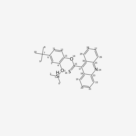 C[SiH](C)Oc1cc(C(C)(C)C)ccc1OC(=S)c1c2ccccc2nc2ccccc12